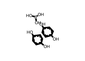 OB(O)O.Oc1ccc(O)cc1.Oc1ccc(O)cc1